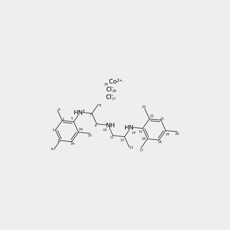 Cc1cc(C)c(NC(C)CNCC(C)Nc2c(C)cc(C)cc2C)c(C)c1.[Cl-].[Cl-].[Co+2]